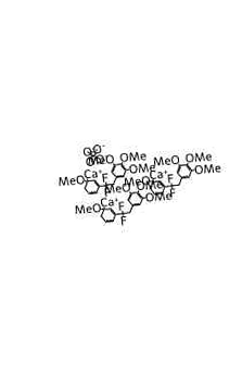 COc1cc(CC(F)(F)C2=C[C]([Ca+])(OC)CC=C2)cc(OC)c1OC.COc1cc(CC(F)(F)C2=C[C]([Ca+])(OC)CC=C2)cc(OC)c1OC.COc1cc(CC(F)(F)C2=C[C]([Ca+])(OC)CC=C2)cc(OC)c1OC.O=P([O-])([O-])[O-]